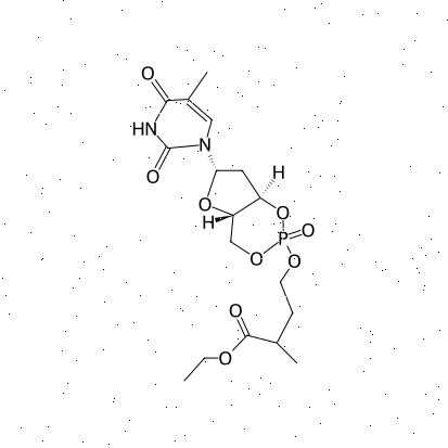 CCOC(=O)C(C)CCOP1(=O)OC[C@@H]2O[C@H](n3cc(C)c(=O)[nH]c3=O)C[C@H]2O1